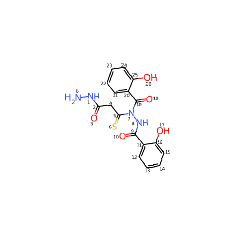 NNC(=O)CC(=S)N(NC(=O)c1ccccc1O)C(=O)c1ccccc1O